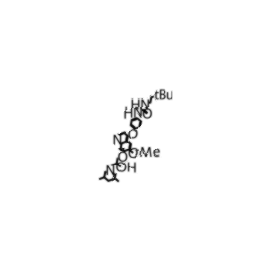 COc1cc2c(Oc3ccc(NC(=O)NCCC(C)(C)C)cc3)ccnc2cc1OCC(O)CN1CC(C)CC(C)C1